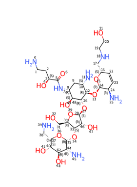 NCC[C@H](O)C(=O)N[C@@H]1C[C@H](N)[C@@H](O[C@H]2O[C@H](CNCCO)C=C[C@H]2N)[C@H](O[C@@H]2O[C@H](CO)[C@@H](O[C@H]3O[C@@H](CN)[C@@H](O)[C@H](O)[C@H]3N)[C@H]2O)[C@H]1O